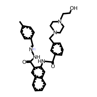 Cc1ccc(/C=N/NC(=O)c2cc3ccccc3cc2NC(=O)c2cccc(CN3CCN(CCO)CC3)c2)cc1